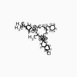 C=C1CN(S(=O)(=O)c2ccc(N(C)C)cc2F)CCCN(CC2CCCCC2)CCCN(S(=O)(=O)N2CCc3cc(Cl)ccc3C2)C1